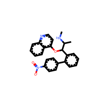 CNC(C)C(Oc1ccnc2ccccc12)c1ccccc1-c1ccc([N+](=O)[O-])cc1